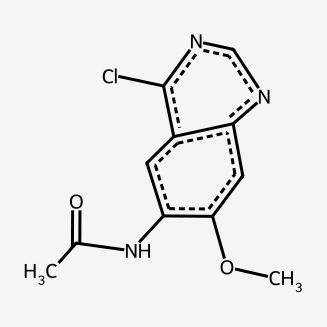 COc1cc2ncnc(Cl)c2cc1NC(C)=O